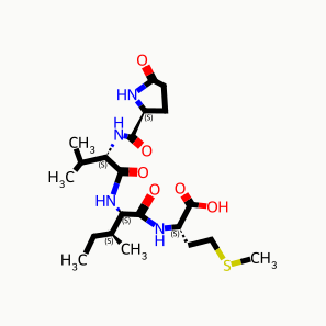 CC[C@H](C)[C@H](NC(=O)[C@@H](NC(=O)[C@@H]1CCC(=O)N1)C(C)C)C(=O)N[C@@H](CCSC)C(=O)O